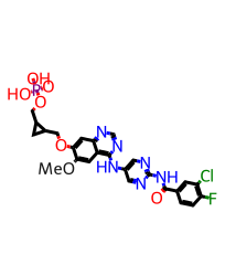 COc1cc2c(Nc3cnc(NC(=O)c4ccc(F)c(Cl)c4)nc3)ncnc2cc1OCC1CC1COP(=O)(O)O